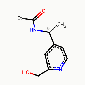 CCC(=O)N[C@H](C)c1ccnc(CO)c1